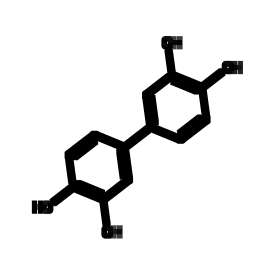 Oc1ccc(-c2ccc(O)c(O)c2)cc1O